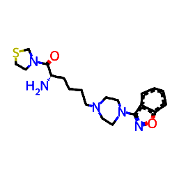 N[C@@H](CCCCN1CCN(c2noc3ccccc23)CC1)C(=O)N1CCSC1